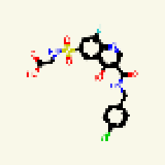 O=C(O)CNS(=O)(=O)c1cc(F)c2ncc(C(=O)NCc3ccc(Cl)cc3)c(O)c2c1